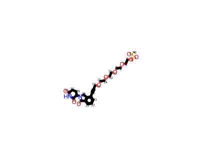 CS(=O)(=O)OCCOCCOCCOCCOCC#Cc1cccc2c1CN(C1CCC(=O)NC1=O)C2=O